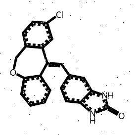 O=c1[nH]c2ccc(/C=C3/c4cc(Cl)ccc4COc4ccccc43)cc2[nH]1